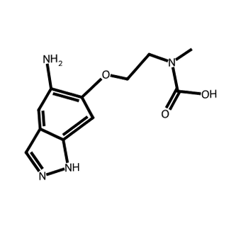 CN(CCOc1cc2[nH]ncc2cc1N)C(=O)O